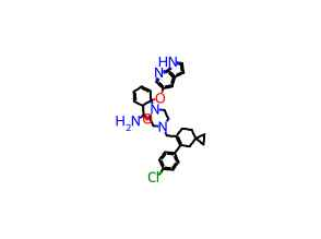 NC(=O)C1C=CC=CC1(Oc1cnc2[nH]ccc2c1)N1CCN(CC2=C(c3ccc(Cl)cc3)CC3(CC2)CC3)CC1